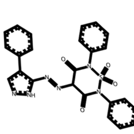 O=C1C(N=Nc2[nH]ncc2-c2ccccc2)C(=O)N(c2ccccc2)S(=O)(=O)N1c1ccccc1